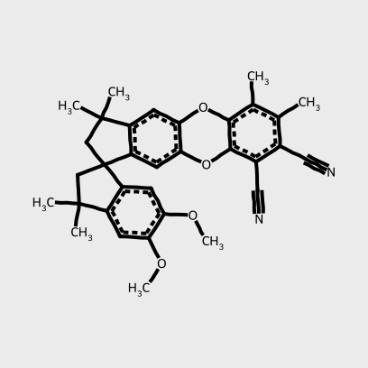 COc1cc2c(cc1OC)C1(CC2(C)C)CC(C)(C)c2cc3c(cc21)Oc1c(C#N)c(C#N)c(C)c(C)c1O3